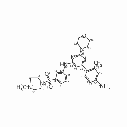 CN1CCN(S(=O)(=O)c2cccc(Nc3cc(-c4cnc(N)cc4C(F)(F)F)nc(N4CCOCC4)n3)c2)CC1